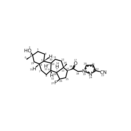 C[C@@]1(O)CC[C@H]2[C@H](CC[C@@H]3[C@@H]2CC[C@]2(C)[C@@H](C(=O)Cn4ccc(C#N)n4)CC(F)[C@@H]32)C1